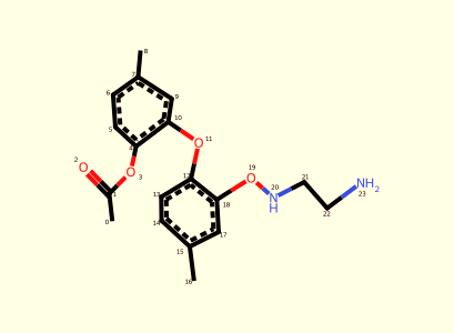 CC(=O)Oc1ccc(C)cc1Oc1ccc(C)cc1ONCCN